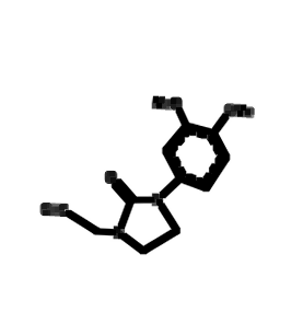 COc1ccc(N2CCN(CC=O)C2=O)cc1OC